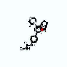 CCNC(=O)Nc1ccc(-c2nc3c(c(N4CCOC[C@@H]4C)n2)C2CCC(C3)N2S(C)(=O)=O)cc1